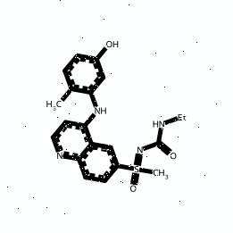 CCNC(=O)N=S(C)(=O)c1ccc2nccc(Nc3cc(O)ccc3C)c2c1